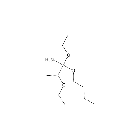 CCCCOC([SiH3])(OCC)[C](C)OCC